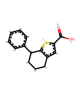 O=C(O)c1cc2c(s1)C(c1ccccc1)CCC2